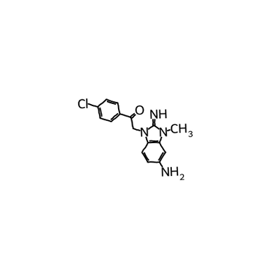 Cn1c(=N)n(CC(=O)c2ccc(Cl)cc2)c2ccc(N)cc21